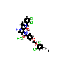 Cc1cc(Cl)c(OCCOc2ccc(C(=O)N[C@H]3CCNCC3C(=O)N(Cc3cccc(Cl)c3Cl)C3CC3)cc2)c(Cl)c1.Cl